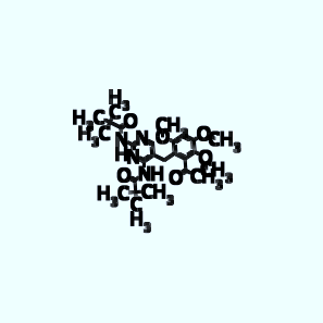 COc1cc(OC)c(OC)c(C(C)=O)c1Cc1cnc(NC(=O)C(C)(C)C)nc1NC(=O)C(C)(C)C